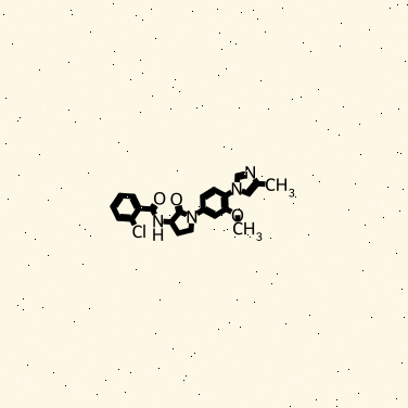 COc1cc(N2CCC(NC(=O)c3ccccc3Cl)C2=O)ccc1-n1cnc(C)c1